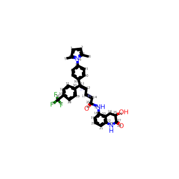 Cc1ccc(C)n1-c1ccc(/C(=C/C=C/C(=O)Nc2cccc3c2CC(O)C(=O)N3)c2ccc(C(F)(F)F)cc2)cc1